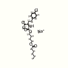 CCCCCC(=O)OCCCCOC(=O)NC(CCc1ccc(Cl)cc1)C(=O)[O-].[Na+]